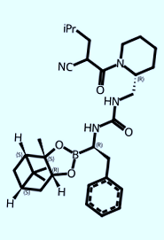 CC(C)CC(C#N)C(=O)N1CCCC[C@@H]1CNC(=O)N[C@@H](Cc1ccccc1)B1O[C@@H]2C[C@@H]3C[C@@H](C3(C)C)[C@]2(C)O1